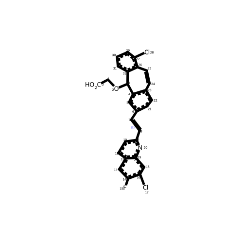 O=C(O)COC1c2cc(/C=C/c3ccc4cc(F)c(Cl)cc4n3)ccc2C=Cc2c(Cl)cccc21